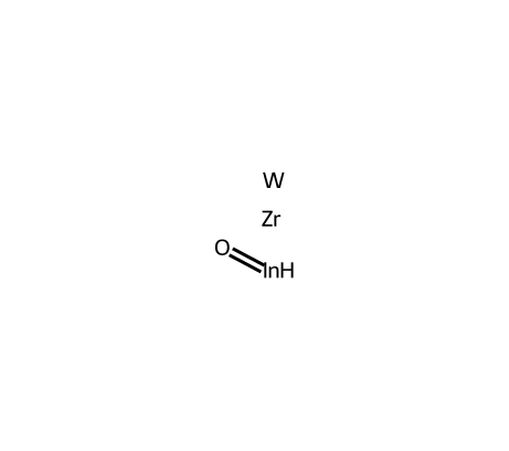 [O]=[InH].[W].[Zr]